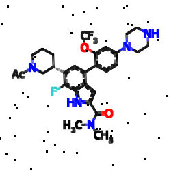 CC(=O)N1CCC[C@H](c2cc(-c3ccc(N4CCNCC4)cc3OC(F)(F)F)c3cc(C(=O)N(C)C)[nH]c3c2F)C1